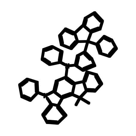 CC1(C)c2ccccc2-c2c(N(c3ccccc3)c3cccc(C4(c5ccccc5)c5ccccc5-c5ccccc54)c3)cc3c(c21)c1ccccc1n3-c1ccccc1